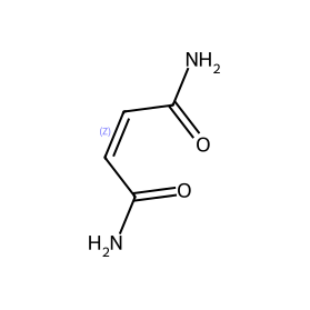 NC(=O)/C=C\C(N)=O